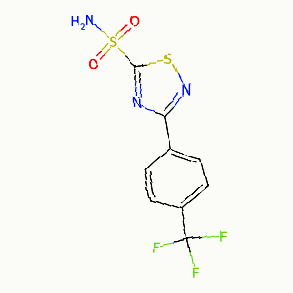 NS(=O)(=O)c1nc(-c2ccc(C(F)(F)F)cc2)ns1